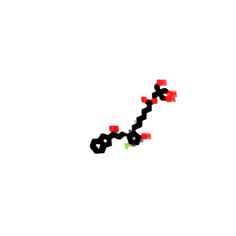 O=C(CCC/C=C/C[C@@H]1[C@@H](CC[C@@H](O)C2Cc3ccccc3C2)[C@@H](F)C[C@@H]1O)OCC(CO)(CO)CO